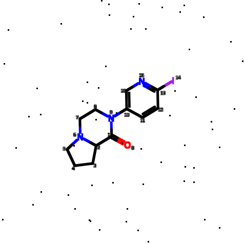 O=C1C2CCCN2CCN1c1ccc(I)nc1